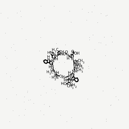 CC(C)C[C@@H]1NC(=O)[C@H](Cc2c[nH]cn2)NC(=O)[C@H](Cc2c[nH]c3ccccc23)NC(=O)[C@H](C)NC(=O)[C@@H](N)CSSC[C@@H](C(=O)N[C@H](C(N)=O)[C@@H](C)O)NC(=O)[C@H](Cc2c[nH]c3ccccc23)NC(=O)[C@H](C(C)C)NC(=O)[C@H](CC(C)C)NC(=O)[C@H](CCC(=O)O)NC(=O)CNC1=O